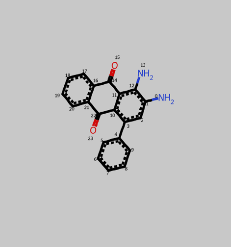 Nc1cc(-c2ccccc2)c2c(c1N)C(=O)c1ccccc1C2=O